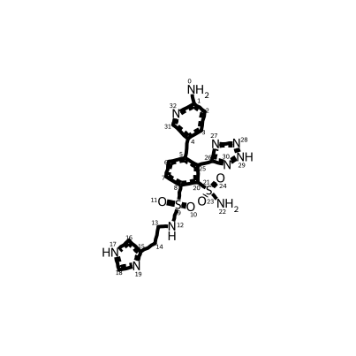 Nc1ccc(-c2ccc(S(=O)(=O)NCCc3c[nH]cn3)c(S(N)(=O)=O)c2-c2nn[nH]n2)cn1